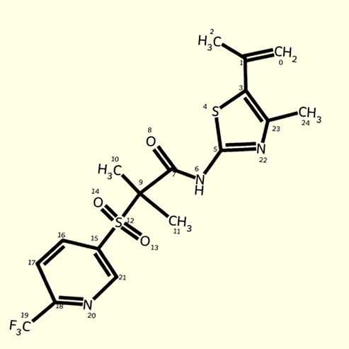 C=C(C)c1sc(NC(=O)C(C)(C)S(=O)(=O)c2ccc(C(F)(F)F)nc2)nc1C